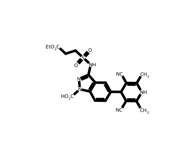 CCOC(=O)CCS(=O)(=O)Nc1nn(C(=O)O)c2ccc(C3C(C#N)=C(C)NC(C)=C3C#N)cc12